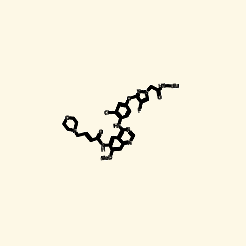 COc1cc2ncnc(Nc3ccc(Oc4nn(CC(=O)NC(C)(C)C)cc4F)cc3Cl)c2cc1NC(=O)/C=C/CN1CCOCC1